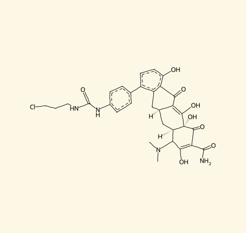 CN(C)C1C(O)=C(C(N)=O)C(=O)[C@]2(O)C(O)=C3C(=O)c4c(O)ccc(-c5ccc(NC(=O)NCCCCl)cc5)c4C[C@@H]3C[C@H]12